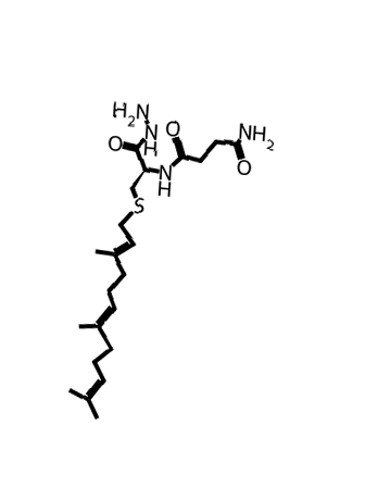 CC(C)=CCC/C(C)=C/CC/C(C)=C/CSC[C@H](NC(=O)CCC(N)=O)C(=O)NN